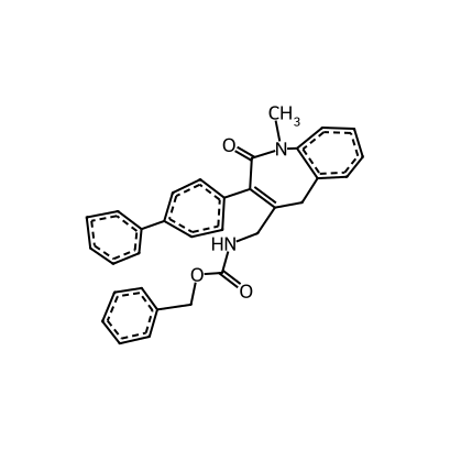 CN1C(=O)C(c2ccc(-c3ccccc3)cc2)=C(CNC(=O)OCc2ccccc2)Cc2ccccc21